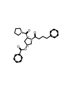 O=C(O[C@H]1C[C@@H](C(=O)N2CCCC2)N(C(=O)CCCc2ccccc2)C1)c1ccccc1